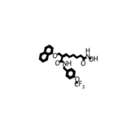 O=C(CCCCC=C(COc1cccc2ccccc12)C(=O)NCc1ccc(OC(F)(F)F)cc1)NO